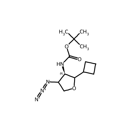 CC(C)(C)OC(=O)N[C@@H]1C(N=[N+]=[N-])COC1C1CCC1